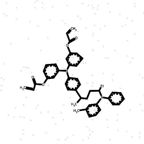 C=CC(=O)Oc1cccc(N(c2ccc(C(C)CCC(CC)N(c3ccccc3)c3cccc(C)c3)cc2)c2cccc(OC(=O)C=C)c2)c1